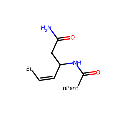 CC/C=C\C(CC(N)=O)NC(=O)CCCCC